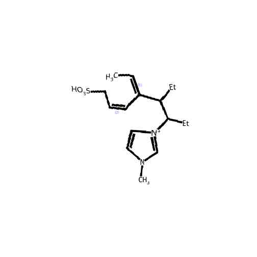 C/C=C(\C=C/CS(=O)(=O)O)C(CC)C(CC)[n+]1ccn(C)c1